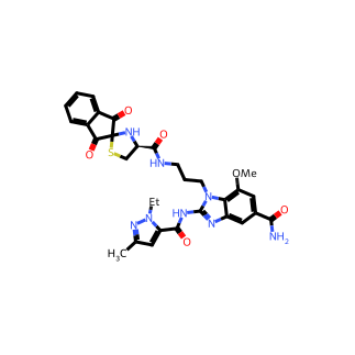 CCn1nc(C)cc1C(=O)Nc1nc2cc(C(N)=O)cc(OC)c2n1CCCNC(=O)[C@H]1CSC2(N1)C(=O)c1ccccc1C2=O